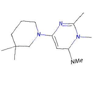 CNC1C=C(N2CCCC(C)(C)C2)N=C(C)N1C